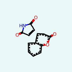 O=C1C=CC(=O)N1.O=c1ccc2ccccc2o1